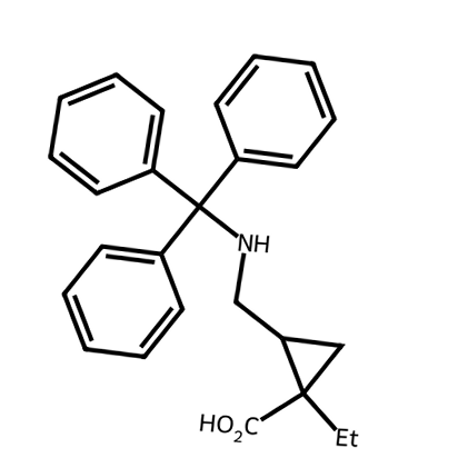 CCC1(C(=O)O)CC1CNC(c1ccccc1)(c1ccccc1)c1ccccc1